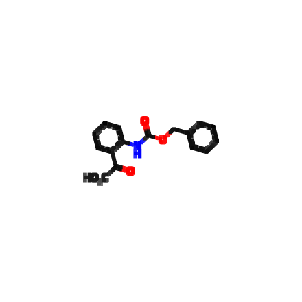 O=C(Nc1ccccc1C(=O)C(=O)O)OCc1ccccc1